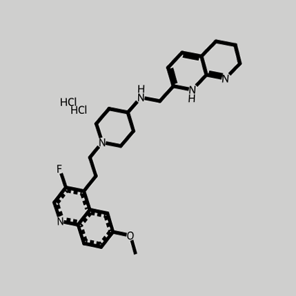 COc1ccc2ncc(F)c(CCN3CCC(NCC4=CC=C5CCCN=C5N4)CC3)c2c1.Cl.Cl